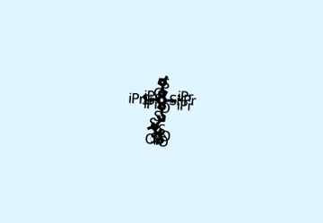 Cc1ccc(-c2cc3c(C#C[Si](C(C)C)(C(C)C)C(C)C)c4oc(-c5ccc(-c6sc(C)c7c8c(sc67)S(=O)(=O)N(C)[S+]8[O-])s5)cc4c(C#C[Si](C(C)C)(C(C)C)C(C)C)c3o2)s1